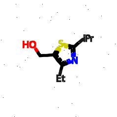 CCc1nc(C(C)C)sc1CO